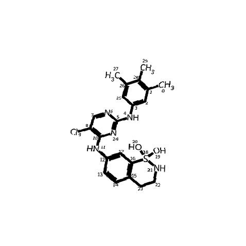 Cc1cc(Nc2ncc(Cl)c(Nc3ccc4c(c3)S(O)(O)NCC4)n2)cc(C)c1C